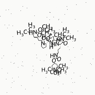 CC(C)C[C@@H](/C=C/CC(=O)N1CCC[C@H]1C(=O)N[C@H](C(=O)N[C@@H](CCCNC(=O)OC1CC(C)(C)N(O)C(C)(C)C1)C(=O)NC(C)C)C(C)C)NC(=O)OC(C)(C)C